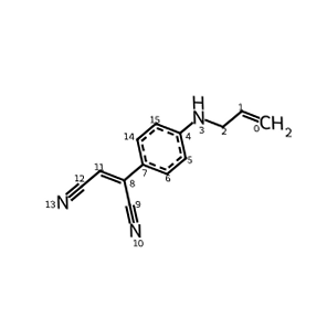 C=CCNc1ccc(C(C#N)=CC#N)cc1